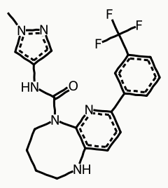 Cn1cc(NC(=O)N2CCCCNc3ccc(-c4cccc(C(F)(F)F)c4)nc32)cn1